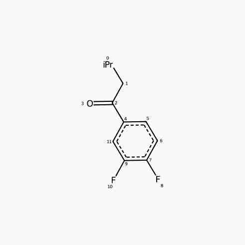 CC(C)CC(=O)c1ccc(F)c(F)c1